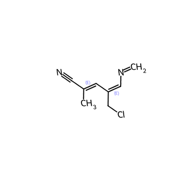 C=N/C=C(\C=C(/C)C#N)CCl